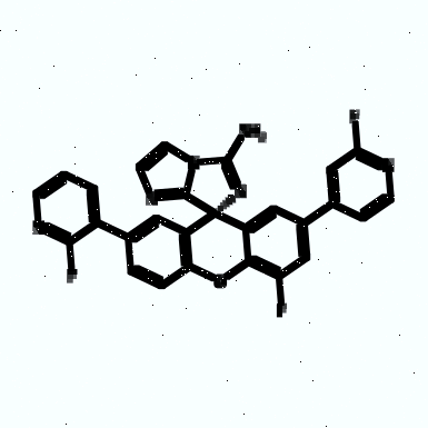 NC1=N[C@]2(c3cc(-c4cccnc4F)ccc3Oc3c(F)cc(-c4ccnc(F)c4)cc32)c2nccn21